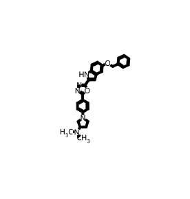 CN(C)C1CCN(c2ccc(-c3nnc(-c4cc5cc(OCc6ccccc6)ccc5[nH]4)o3)cc2)C1